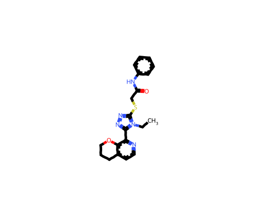 CCn1c(SCC(=O)Nc2ccccc2)nnc1-c1nccc2c1OCCC2